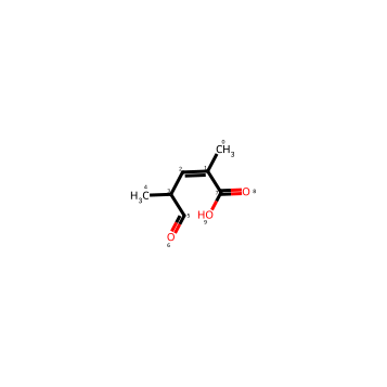 CC(=CC(C)C=O)C(=O)O